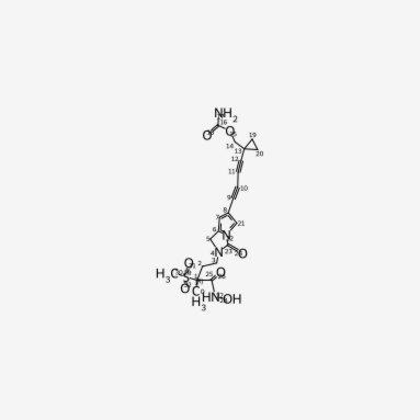 C[C@@](CCN1Cc2cc(C#CC#CC3(COC(N)=O)CC3)cn2C1=O)(C(=O)NO)S(C)(=O)=O